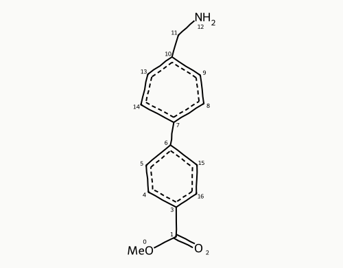 COC(=O)c1ccc(-c2ccc(CN)cc2)cc1